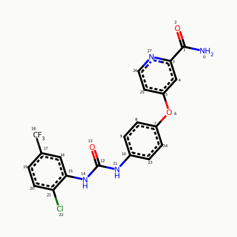 NC(=O)c1cc(Oc2ccc(NC(=O)Nc3cc(C(F)(F)F)ccc3Cl)cc2)ccn1